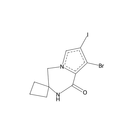 O=C1NC2(CCC2)Cn2cc(I)c(Br)c21